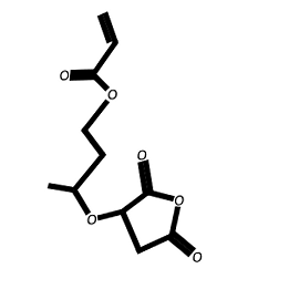 C=CC(=O)OCCC(C)OC1CC(=O)OC1=O